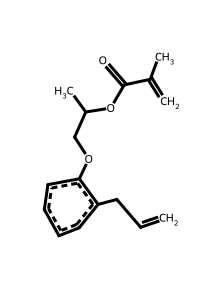 C=CCc1ccccc1OCC(C)OC(=O)C(=C)C